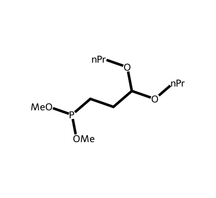 CCCOC(CCP(OC)OC)OCCC